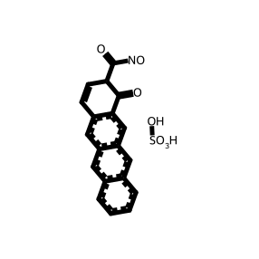 O=NC(=O)C1C=Cc2cc3cc4ccccc4cc3cc2C1=O.O=S(=O)(O)O